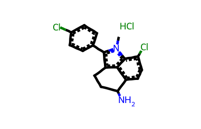 Cl.Cn1c(-c2ccc(Cl)cc2)c2c3c(ccc(Cl)c31)C(N)CC2